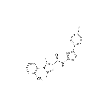 Cc1cc(C(=O)Nc2nc(-c3ccc(F)cc3)cs2)c(C)n1-c1ccccc1C(F)(F)F